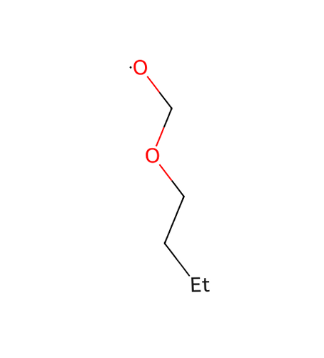 CCCCOC[O]